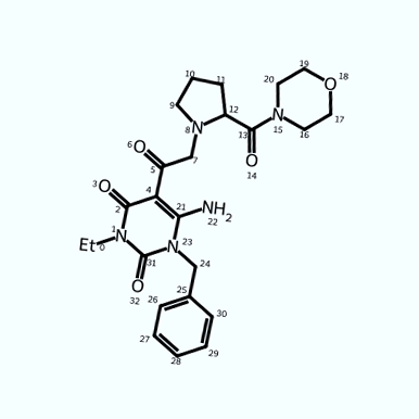 CCn1c(=O)c(C(=O)CN2CCCC2C(=O)N2CCOCC2)c(N)n(Cc2ccccc2)c1=O